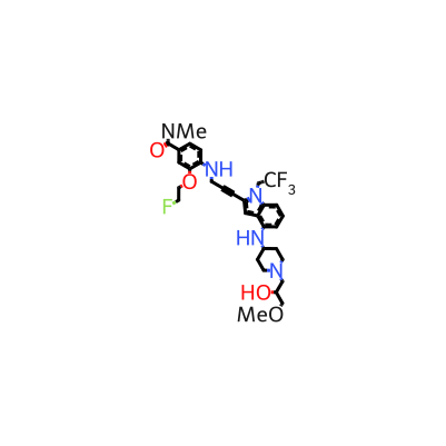 CNC(=O)c1ccc(NCC#Cc2cc3c(NC4CCN(CC(O)COC)CC4)cccc3n2CC(F)(F)F)c(OCCF)c1